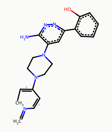 C=N/C=C\C(=C/C)N1CCN(c2cc(-c3ccccc3O)nnc2N)CC1